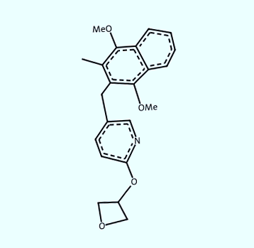 COc1c(C)c(Cc2ccc(OC3COC3)nc2)c(OC)c2ccccc12